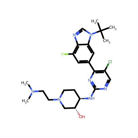 CN(C)CCN1CC[C@@H](Nc2ncc(Cl)c(-c3cc(F)c4ncn(C(C)(C)C)c4c3)n2)[C@H](O)C1